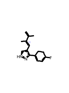 C=C(C)/C(C)=C/c1c[nH]nc1C1=CC=C(F)CC1